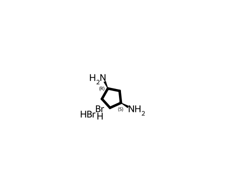 Br.Br.N[C@@H]1CC[C@H](N)C1